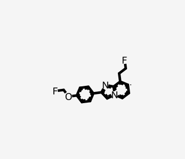 FCCc1[c]ccn2cc(-c3ccc(OCF)cc3)nc12